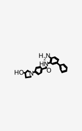 Nc1ccc(-c2ccccc2)cc1NC(=O)c1ccc(N2CCC(O)C2)cc1